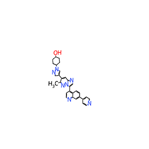 Cc1nn2c(-c3ccnc4cc(-c5ccncc5)ccc34)cnc2cc1-c1cnn(C2CCC(O)CC2)c1